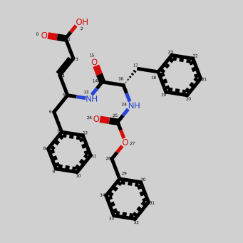 O=C(O)C=CC(Cc1ccccc1)NC(=O)[C@H](Cc1ccccc1)NC(=O)OCc1ccccc1